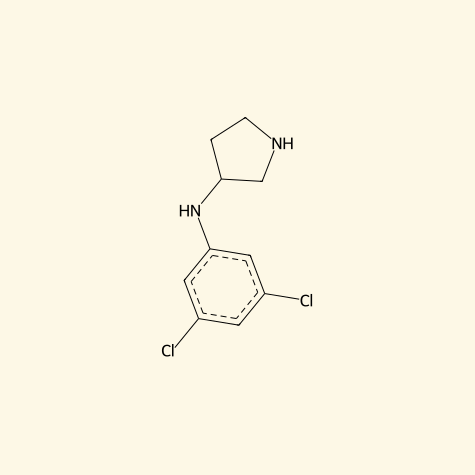 Clc1cc(Cl)cc(NC2CCNC2)c1